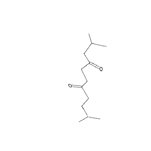 CC(C)CCC(=O)CCC(=O)CC(C)C